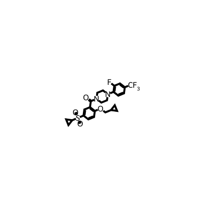 O=C(c1cc(S(=O)(=O)C2CC2)ccc1OCC1CC1)N1CCN(c2ccc(C(F)(F)F)cc2F)CC1